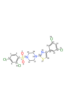 O=S(=O)(c1ccc(Cl)cc1Cl)N1CCN(c2nc(-c3cc(Cl)cc(Cl)c3)cs2)CC1